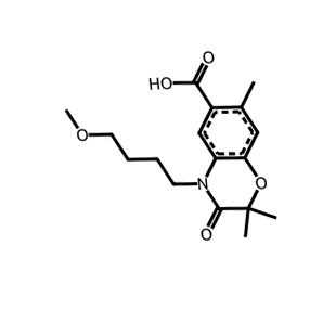 COCCCCN1C(=O)C(C)(C)Oc2cc(C)c(C(=O)O)cc21